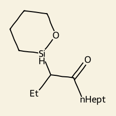 CCCCCCCC(=O)C(CC)[SiH]1CCCCO1